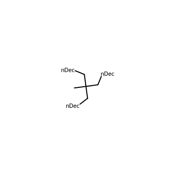 CCCCCCCCCCCC(C)(CCCCCCCCCCC)CCCCCCCCCCC